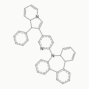 C1=CC2c3ccccc3-c3ccccc3N(c3ccc(C4=CN5C=CC=CC5C4c4ccccc4)cn3)C2C=C1